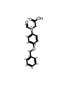 O=CN(CC(=O)O)c1ccc(OCc2ccccc2)cc1